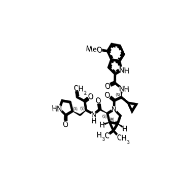 C=CC(=O)[C@H](C[C@@H]1CCNC1=O)NC(=O)[C@@H]1[C@@H]2[C@H](CN1C(=O)[C@@H](NC(=O)c1cc3c(OC)cccc3[nH]1)C1CC1)C2(C)C